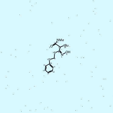 CNC(=O)C(C(=NO)SCSc1ccccc1)C(C)(C)C